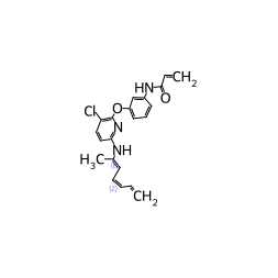 C=C/C=C\C=C(/C)Nc1ccc(Cl)c(Oc2cccc(NC(=O)C=C)c2)n1